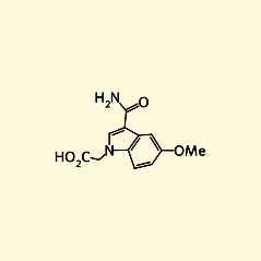 COc1ccc2c(c1)c(C(N)=O)cn2CC(=O)O